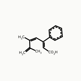 C=C(C)C(C)=CC(=CC(=O)O)c1ccccc1